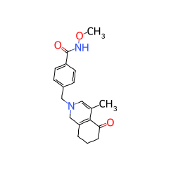 CONC(=O)c1ccc(CN2C=C(C)C3=C(CCCC3=O)C2)cc1